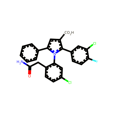 NC(=O)Cc1ccc(Cl)cc1-n1c(-c2ccccc2)cc(C(=O)O)c1-c1ccc(F)c(Cl)c1